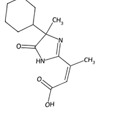 C/C(=C/C(=O)O)C1=NC(C)(C2CCCCC2)C(=O)N1